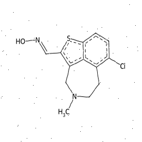 CN1CCc2c(Cl)ccc3sc(C=NO)c(c23)C1